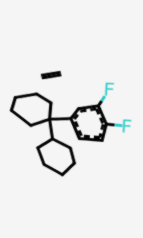 C=C.Fc1ccc(C2(C3CCCCC3)CCCCC2)cc1F